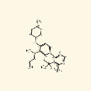 CN(CCO)c1c(OC2CCC(N)CC2)ccc2c1CC(C)(C)c1c(N)ncnc1-2